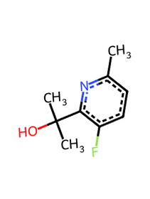 Cc1ccc(F)c(C(C)(C)O)n1